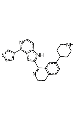 c1cc2[nH]c(C3=NCCc4ccc(C5CCNCC5)cc43)cc2c(-c2ccsc2)n1